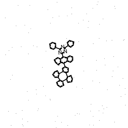 c1ccc(-c2nc(-c3ccccc3)nc(-c3c4ccccc4c(-c4ccc5c(c4)-c4ccccc4-c4ccccc4-c4ccccc4-5)c4ccccc34)n2)cc1